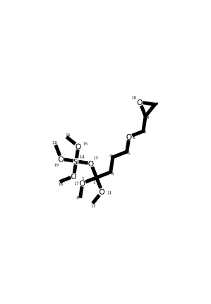 COC(CCCOCC1CO1)(OC)O[Si](OC)(OC)OC